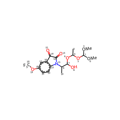 COC(OC)OC(C)OC(O)C(C)N1C(=O)C(=O)c2cc(OC(F)(F)F)ccc21